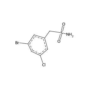 NS(=O)(=O)Cc1cc(Cl)cc(Br)c1